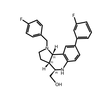 OC[C@@H]1Nc2ccc(-c3cccc(F)c3)cc2[C@@H]2[C@H]1CCN2Cc1ccc(F)cc1